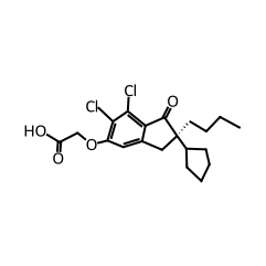 CCCC[C@]1(C2CCCC2)Cc2cc(OCC(=O)O)c(Cl)c(Cl)c2C1=O